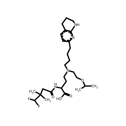 CC(C)OCCN(CCCCc1ccc2c(n1)NCCC2)CCC(NC(=O)CC(C)(C)C(F)F)C(=O)O